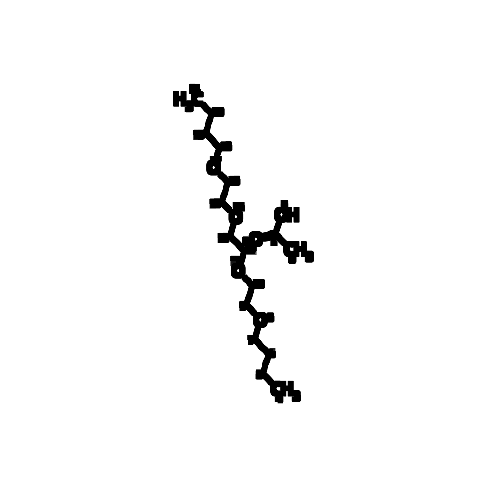 CC(=O)O.CCCCOCCOCCOCCOCCCC